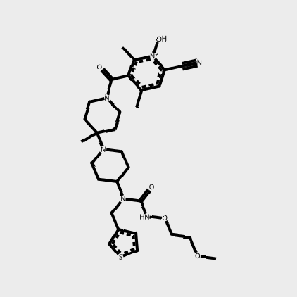 COCCONC(=O)N(Cc1ccsc1)C1CCN(C2(C)CCN(C(=O)c3c(C)cc(C#N)[n+](O)c3C)CC2)CC1